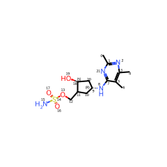 Cc1nc(C)c(C)c(N[C@@H]2CC(COS(N)(=O)=O)[C@@H](O)C2)n1